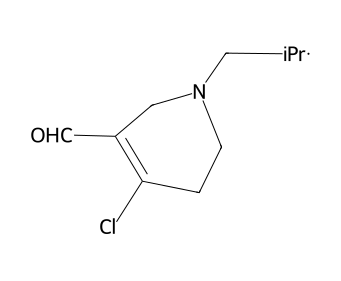 C[C](C)CN1CCC(Cl)=C(C=O)C1